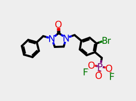 O=C1N(Cc2ccccc2)CCN1Cc1ccc(CP(=O)(OF)OF)c(Br)c1